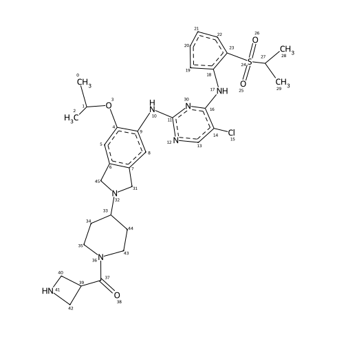 CC(C)Oc1cc2c(cc1Nc1ncc(Cl)c(Nc3ccccc3S(=O)(=O)C(C)C)n1)CN(C1CCN(C(=O)C3CNC3)CC1)C2